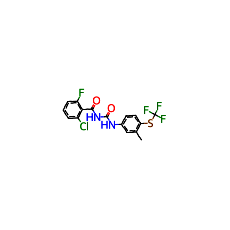 Cc1cc(NC(=O)NC(=O)c2c(F)cccc2Cl)ccc1SC(F)(F)F